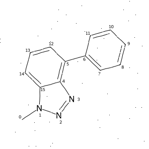 Cn1nnc2c(-c3ccccc3)cccc21